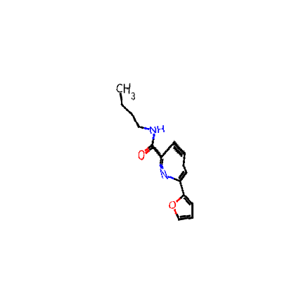 CCCCNC(=O)c1cccc(-c2ccco2)n1